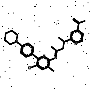 C=C(C)c1ccnc(C(C)C/C(C)=N/c2nc(-c3ccc(N4CCCCC4)cc3)c(Cl)cc2C)c1